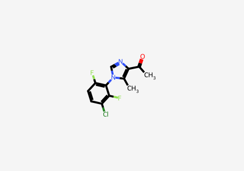 CC(=O)c1ncn(-c2c(F)ccc(Cl)c2F)c1C